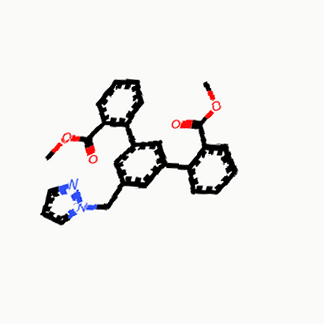 COC(=O)c1ccccc1-c1cc(Cn2cccn2)cc(-c2ccccc2C(=O)OC)c1